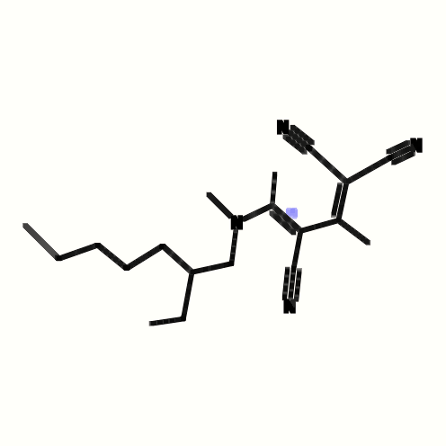 CCCCCC(CC)CN(C)/C(C)=C(\C#N)C(C)=C(C#N)C#N